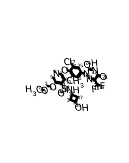 COCOc1cnc(Oc2c(C)cc(-n3nc(C(F)F)c(=O)[nH]c3=O)cc2Cl)cc1[S+]([O-])NC1CC(O)C1